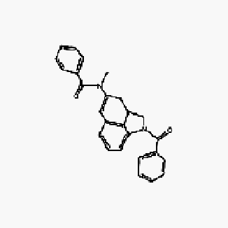 CN(C(=O)c1ccccc1)C1=Cc2cccc3c2C(C1)CN3C(=O)c1ccccc1